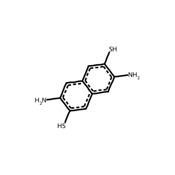 Nc1cc2cc(S)c(N)cc2cc1S